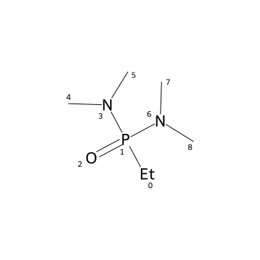 CCP(=O)(N(C)C)N(C)C